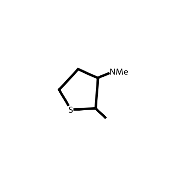 CNC1CCSC1C